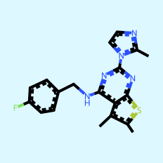 Cc1sc2nc(-n3ccnc3C)nc(NCc3ccc(F)cc3)c2c1C